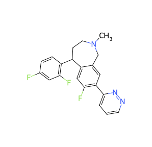 CN1CCC(c2ccc(F)cc2F)c2cc(F)c(-c3cccnn3)cc2C1